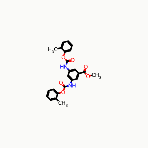 COC(=O)c1cc(NC(=O)Oc2ccccc2C)cc(NC(=O)Oc2ccccc2C)c1